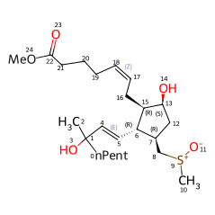 CCCCCC(C)(O)/C=C/[C@H]1[C@H](C[S+](C)[O-])C[C@H](O)[C@@H]1C/C=C\CCCC(=O)OC